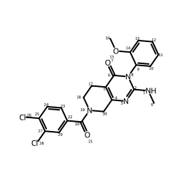 CNc1nc2c(c(=O)n1-c1ccccc1OC)CCN(C(=O)c1ccc(Cl)c(Cl)c1)C2